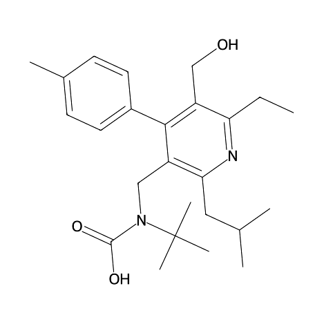 CCc1nc(CC(C)C)c(CN(C(=O)O)C(C)(C)C)c(-c2ccc(C)cc2)c1CO